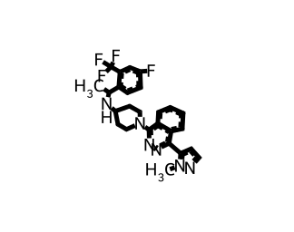 CC(NC1CCN(c2nnc(-c3ccnn3C)c3ccccc23)CC1)c1ccc(F)cc1C(F)(F)F